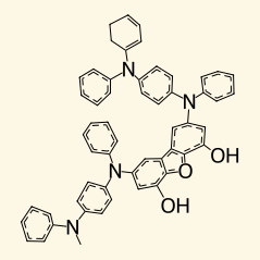 CN(c1ccccc1)c1ccc(N(c2ccccc2)c2cc(O)c3oc4c(O)cc(N(c5ccccc5)c5ccc(N(C6=CC=CCC6)c6ccccc6)cc5)cc4c3c2)cc1